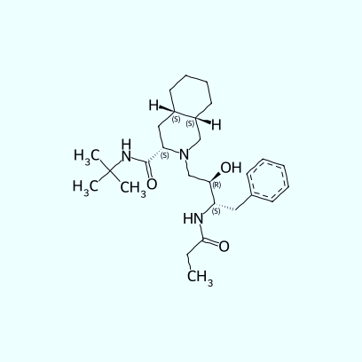 CCC(=O)N[C@@H](Cc1ccccc1)[C@H](O)CN1C[C@H]2CCCC[C@H]2C[C@H]1C(=O)NC(C)(C)C